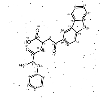 CC(Oc1ccccc1)C(=O)NC(CC(=O)c1ccc2oc3ccccc3c2c1)C(=O)O